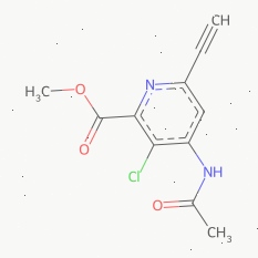 C#Cc1cc(NC(C)=O)c(Cl)c(C(=O)OC)n1